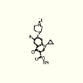 CCCOC(=O)c1cn(C2CC2)c2cc(N3CCN(CC)CC3)c(F)cc2c1=O